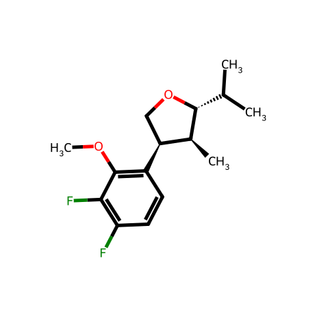 COc1c([C@H]2CO[C@H](C(C)C)[C@H]2C)ccc(F)c1F